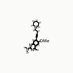 COc1cc2c(C)nc(N(C)C)nc2cc1C#CCCN1CCCCC1